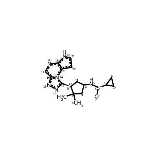 CC1(C)CC(N[S+]([O-])C2CC2)C[C@@H]1c1nnc2cnc3[nH]ccc3n12